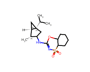 CC(C)[C@]12CC(NC3=NS(=O)(=O)C4CCCCC4O3)[C@H](C)[C@H]1C2